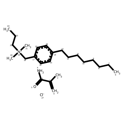 C=C(C)C(N)=O.CCCCCCCCc1ccc(C[N+](C)(C)CCC)cc1.[Cl-]